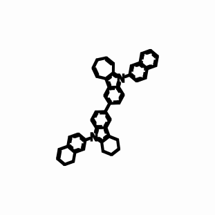 C1=Cc2c(n(-c3ccc4ccccc4c3)c3ccc(-c4ccc5c(c4)c4c(n5-c5ccc6c(c5)CCC=C6)CCCC4)cc23)C=CC1